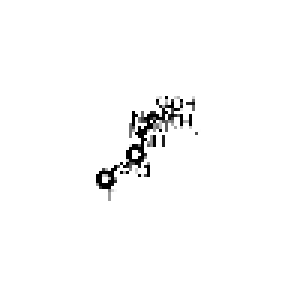 CN(C(=O)O)c1cc2ncnc(Nc3ccc(OCc4cccc(F)c4)c(Cl)c3)c2[nH]1